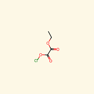 CCOC(=O)C(=O)OCl